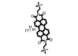 C[N+](C)(C)CCN1C(=O)c2ccc3c4ccc5c6c(ccc(c7ccc(c2c37)C1=O)c64)C(=O)N(CC[N+](C)(C)C)C5=O.I.I.[I-].[I-]